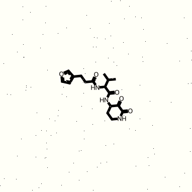 CC(C)C(NC(=O)CCc1ccoc1)C(=O)NC1CCNC(=O)C1=O